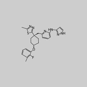 Cc1nnc([C@]2(Cc3cccc(Nc4cc[nH]n4)n3)CC[C@@H](Oc3cccc(C)c3F)CC2)s1